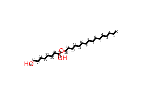 CCCCCCCCCCCCCCCCOC(O)CCCCCCCO